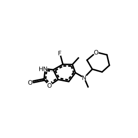 Cc1c(N(C)C2CCCOC2)cc2oc(=O)[nH]c2c1F